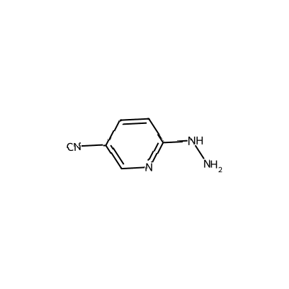 [C-]#[N+]c1ccc(NN)nc1